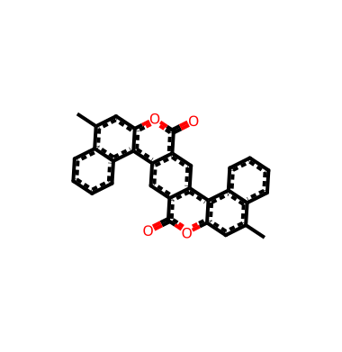 Cc1cc2oc(=O)c3cc4c(cc3c2c2ccccc12)c(=O)oc1cc(C)c2ccccc2c14